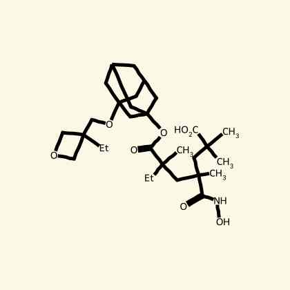 CCC1(COC23CC4CC(C2)CC(OC(=O)C(C)(CC)CC(C)(CC(C)(C)C(=O)O)C(=O)NO)(C4)C3)COC1